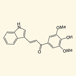 COc1cc(C(=O)C=Cc2c[nH]c3ccccc23)cc(OC)c1O